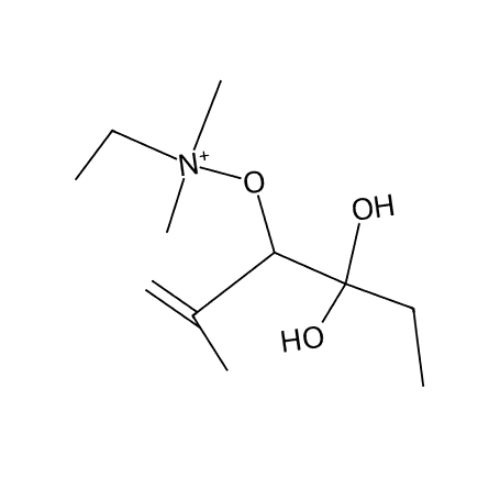 C=C(C)C(O[N+](C)(C)CC)C(O)(O)CC